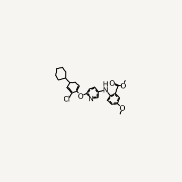 COC(=O)c1cc(OC)ccc1Nc1ccc(OC2=CCC(C3CCCCC3)C=C2Cl)nc1